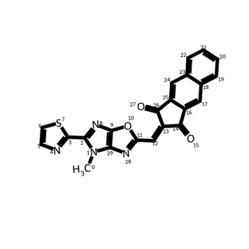 Cn1c(-c2nccs2)nc2oc(C=C3C(=O)c4cc5ccccc5cc4C3=O)nc21